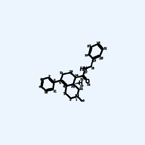 CN1CCC2=C(c3ccccc3)CC[C@@H](C(=O)NCc3ccccc3)[C@H]2C1